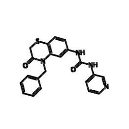 O=C(Nc1cccnc1)Nc1ccc2c(c1)N(Cc1ccccc1)C(=O)CS2